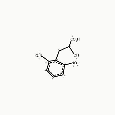 O=C(O)C(O)Cc1c([N+](=O)[O-])cccc1[N+](=O)[O-]